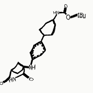 CC(C)(C)OC(=O)NC1CCC(c2ccc(NC34CC(C3)C(=O)NC4=O)cc2)CC1